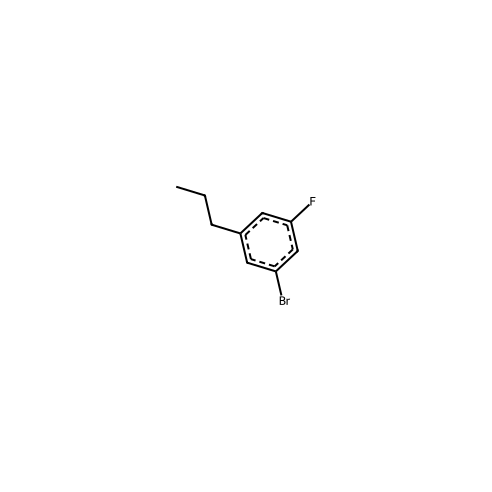 CCCc1cc(F)cc(Br)c1